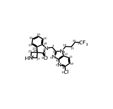 O=C1N(Cc2nc3nc(Cl)ccc3n2CCCC(F)(F)F)c2ccccc2C12CNC2